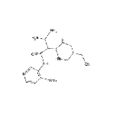 COc1ccncc1NC(=O)C(C(N)N)C1NCC(CC#N)CN1